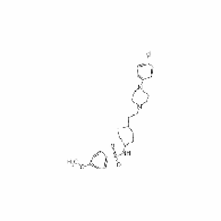 COc1ccc(S(=O)(=O)NC2CCC(CCN3CCN(c4ccc(Cl)cc4)CC3)CC2)cc1